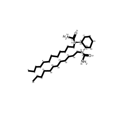 CCCCCCCCCCCCN(C(N)=O)[C@H]1CCCC[C@@H]1N(CCCCCCCCCCCC)C(N)=O